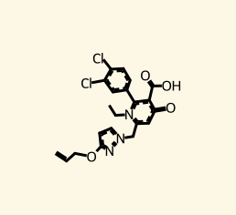 C=CCOc1ccn(Cc2cc(=O)c(C(=O)O)c(-c3ccc(Cl)c(Cl)c3)n2CC)n1